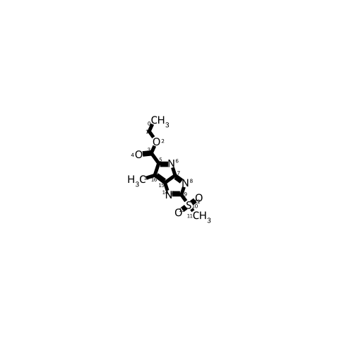 CCOC(=O)C1=NC2=NC(S(C)(=O)=O)=NC2=C1C